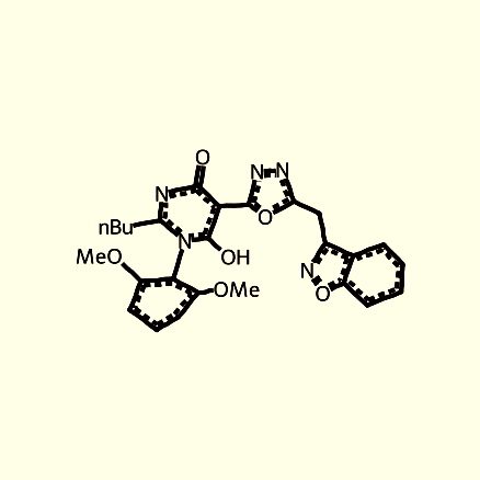 CCCCc1nc(=O)c(-c2nnc(Cc3noc4ccccc34)o2)c(O)n1-c1c(OC)cccc1OC